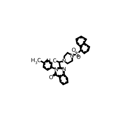 Cc1ccc(-n2c(C(C)N3CCN(S(=O)(=O)c4cccc5ccccc45)CC3)nc3ccccc3c2=O)cc1